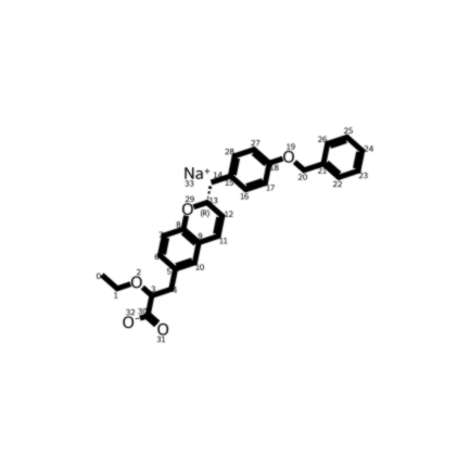 CCOC(Cc1ccc2c(c1)C=C[C@@H](Cc1ccc(OCc3ccccc3)cc1)O2)C(=O)[O-].[Na+]